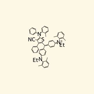 CCN(c1ccc(C(=C2C=CC(=[N+](CC)c3c(C)cccc3C)C=C2)c2sc(N(c3ccccc3)c3ccccc3C)c(C#N)c2-c2ccccc2)cc1)c1c(C)cccc1C